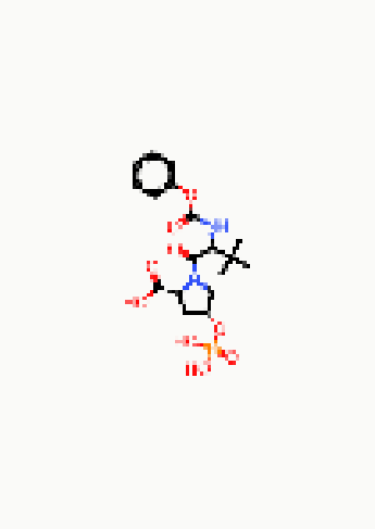 CC(C)(C)[C@H](NC(=O)Oc1ccccc1)C(=O)N1C[C@H](OP(=O)(O)O)C[C@H]1C(=O)O